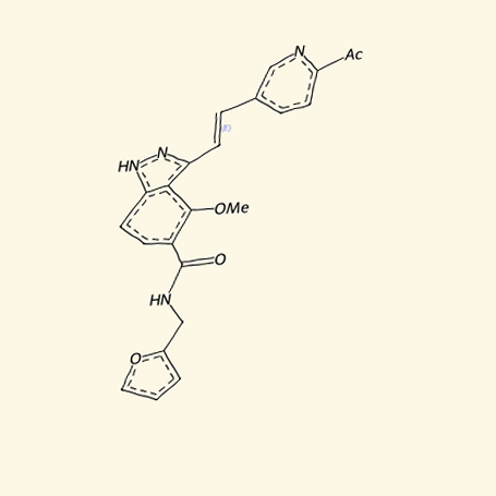 COc1c(C(=O)NCc2ccco2)ccc2[nH]nc(/C=C/c3ccc(C(C)=O)nc3)c12